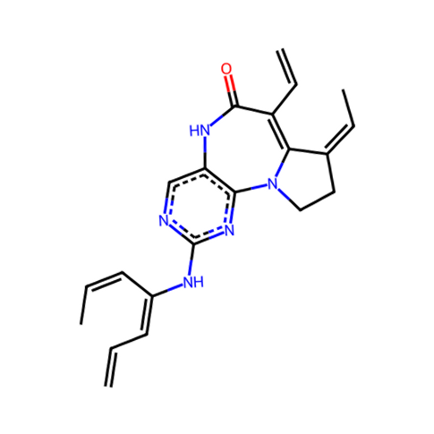 C=C/C=C(\C=C/C)Nc1ncc2c(n1)N1CC/C(=C/C)C1=C(C=C)C(=O)N2